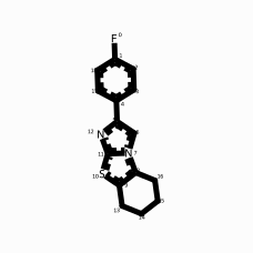 Fc1ccc(-c2cn3c4c(sc3n2)CCCC4)cc1